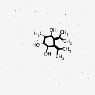 CC(C)=C1C(=C(C)C)[C@@H](O)[C@H](O)[C@H](C)[C@@H]1O